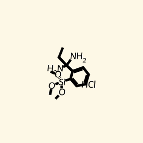 CCC(N)(N)c1ccccc1[Si](OC)(OC)OC.Cl